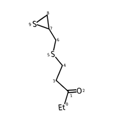 CCC(=O)CCSCC1CS1